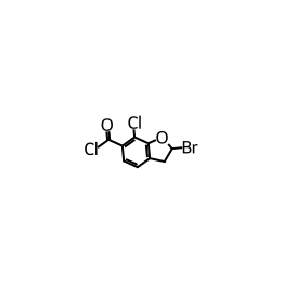 O=C(Cl)c1ccc2c(c1Cl)OC(Br)C2